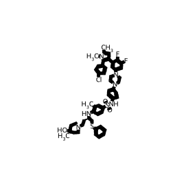 Cc1cc(S(=O)(=O)Nc2ccc(N3CCN(c4cc(F)c(F)c(-c5cc(C)n(C)c5-c5ccc(Cl)cc5)c4)CC3)cc2)ccc1N[C@H](CCN1CCC(C)(O)CC1)CSc1ccccc1